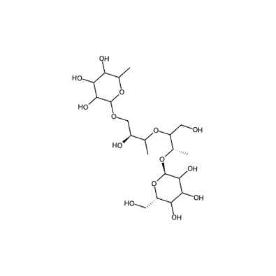 CC1OC(OC[C@H](O)C(C)OC(CO)[C@H](C)O[C@@H]2O[C@@H](CO)C(O)C(O)C2O)C(O)C(O)C1O